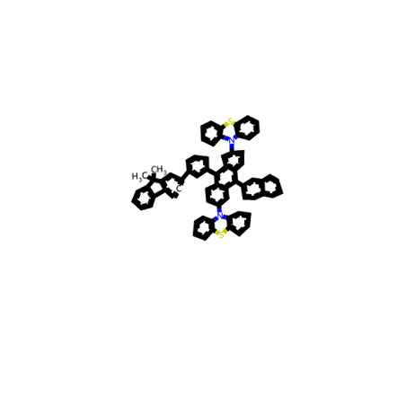 CC1(C)c2ccccc2-c2ccc(-c3cccc(-c4c5ccc(N6c7ccccc7Sc7ccccc76)cc5c(-c5ccc6ccccc6c5)c5ccc(N6c7ccccc7Sc7ccccc76)cc45)c3)cc21